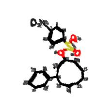 O=[N+]([O-])c1ccc(S(=O)(=O)OC2CCCCCCC(c3ccccc3)C2)cc1